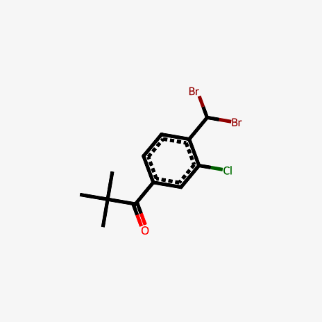 CC(C)(C)C(=O)c1ccc(C(Br)Br)c(Cl)c1